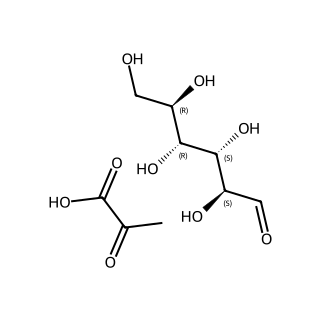 CC(=O)C(=O)O.O=C[C@@H](O)[C@@H](O)[C@H](O)[C@H](O)CO